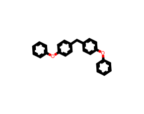 [c]1cc(Cc2c[c]c(Oc3ccccc3)cc2)ccc1Oc1ccccc1